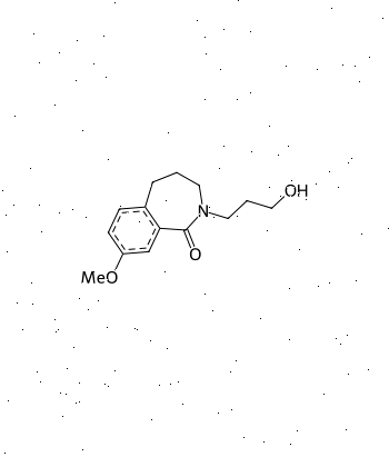 COc1ccc2c(c1)C(=O)N(CCCO)CCC2